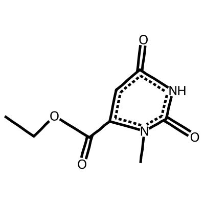 CCOC(=O)c1cc(=O)[nH]c(=O)n1C